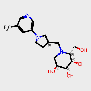 OC[C@@H]1[C@@H](O)[C@H](O)[C@@H](O)CN1C[C@H]1CCN(c2cncc(C(F)(F)F)c2)C1